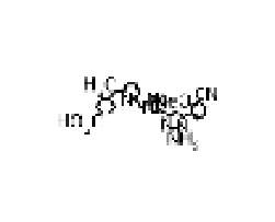 COc1c(C#N)cccc1-c1cc(-c2cn(Cc3cccc(C(C)C4CCC(C(=O)O)CC4)n3)nn2)nc(N)n1